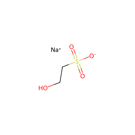 O=S(=O)([O-])CCO.[Na+]